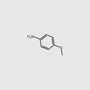 COc1ccc([SiH3])cc1